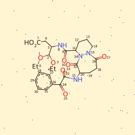 CCOC(OCC)C(CC(=O)O)NC(=O)C1CCCN2C(=O)CCC(NC(=O)C(=O)c3ccccc3)C(=O)N12